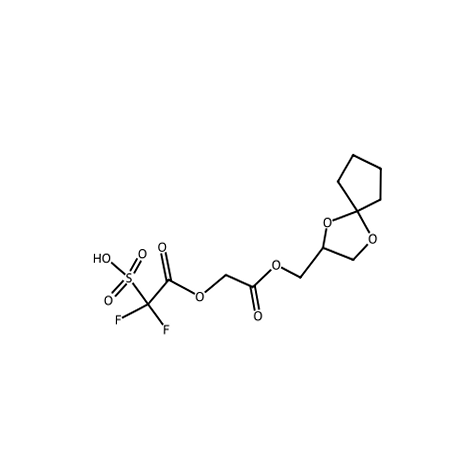 O=C(COC(=O)C(F)(F)S(=O)(=O)O)OCC1COC2(CCCC2)O1